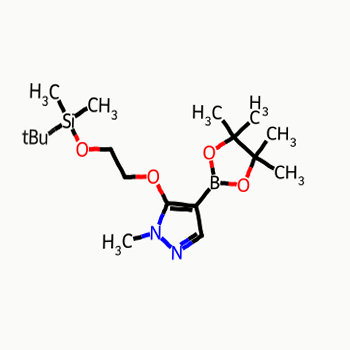 Cn1ncc(B2OC(C)(C)C(C)(C)O2)c1OCCO[Si](C)(C)C(C)(C)C